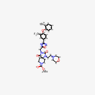 CCCCOC(=O)N1CCC2(CC1)C(=O)N(Cc1nc(-c3ccc(Oc4ccccc4C(C)(C)C)c(C(F)(F)F)c3)no1)C(=O)N2CCN1CCOCC1